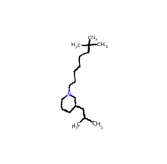 CC(C)CC1CCCN(CCCCCCC(C)(C)C)C1